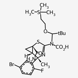 CC(C)(C)C(OCC[Si](C)(C)C)N(C(=O)O)C1=N[C@](C)(c2cc(Br)ccc2F)[C@@H]2C[C@]2(C(N)=O)S1